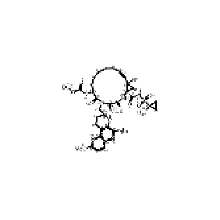 CC[C@H](C)OC(=O)N[C@H]1CCCCC/C=C\[C@@H]2C[C@@]2(C(=O)NS(=O)(=O)C2(C)CC2)NC(=O)[C@@H]2C[C@]3(CCc4c(c(C(F)(F)F)nc5ccc(OC)nc45)O3)CN2C1=O